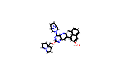 Cc1cccc2cc(O)cc(-c3cnc4c(N5CC6CCC(C5)N6)nc(OCC56CCCN5CCC6)nc4c3)c12